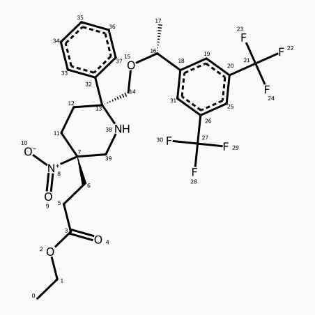 CCOC(=O)CC[C@@]1([N+](=O)[O-])CC[C@@](CO[C@H](C)c2cc(C(F)(F)F)cc(C(F)(F)F)c2)(c2ccccc2)NC1